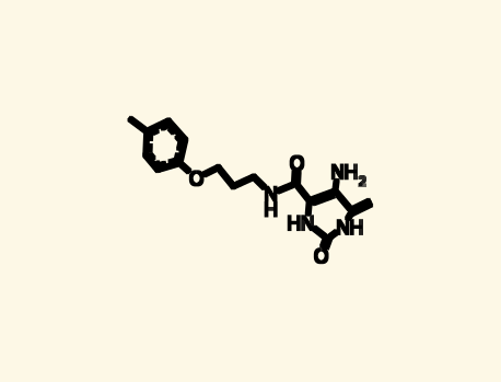 C=C1NC(=O)NC(C(=O)NCCCOc2ccc(C)cc2)=C1N